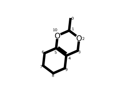 CC1OCC2=C(CCCC2)O1